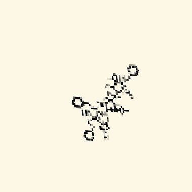 CC(C)CC(NC(=O)[C@H](Cc1c[nH]cn1)NC(=O)[C@H](Cc1ccccc1)NC(=O)OCc1ccccc1)C(=O)C(F)(F)C(N)C(=O)C(C(=O)NCc1ccccc1)C(C)C